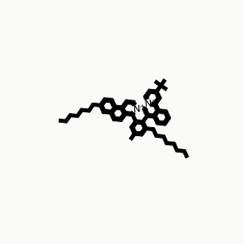 CCCCCCCCc1cc(C)cc(-c2c3ccc4cc(CCCCCCC)ccc4c3cc[n+]2C)c1-c1c[n+]2ccc(C(C)(C)C)cc2c2ccccc12